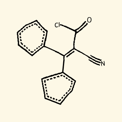 N#CC(C(=O)Cl)=C(c1ccccc1)c1ccccc1